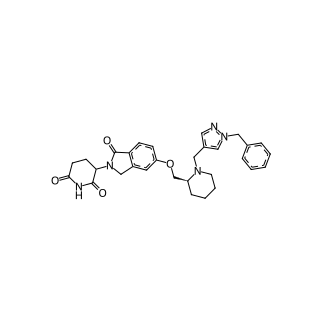 O=C1CCC(N2Cc3cc(OC[C@@H]4CCCCN4Cc4cnn(Cc5ccccc5)c4)ccc3C2=O)C(=O)N1